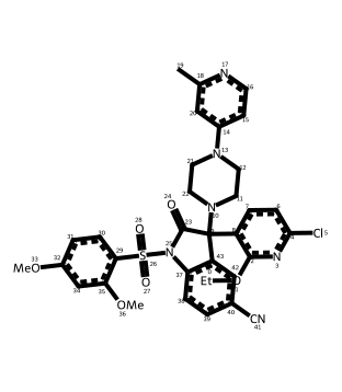 CCOc1nc(Cl)ccc1C1(N2CCN(c3ccnc(C)c3)CC2)C(=O)N(S(=O)(=O)c2ccc(OC)cc2OC)c2ccc(C#N)cc21